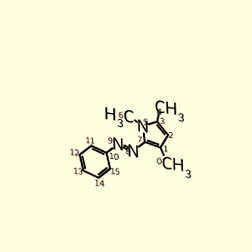 Cc1cc(C)n(C)c1/N=N/c1ccccc1